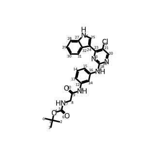 CC(C)(C)OC(=O)NCC(=O)Nc1cccc(Nc2ncc(Cl)c(-c3c[nH]c4ccccc34)n2)c1